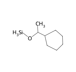 CC(O[SiH3])C1CCCCC1